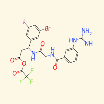 N=C(N)Nc1cccc(C(=O)NCC(=O)NC(CC(=O)OC(=O)C(F)(F)F)c2cc(Br)cc(I)c2)c1